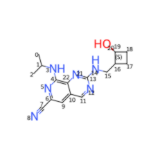 CC(C)Nc1nc(C#N)cc2cnc(NCC3CC[C@@H]3O)nc12